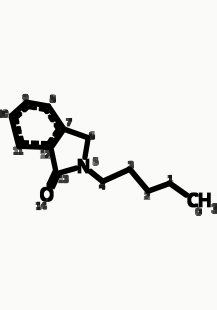 CCCCCN1Cc2ccccc2C1=O